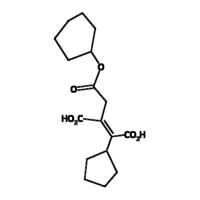 O=C(C/C(C(=O)O)=C(\C(=O)O)C1CCCC1)OC1CCCCC1